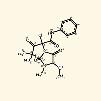 COC1C(=O)N(C(Cl)(C(=O)Nc2ccccc2)C(=O)C(C)(C)C)C(=O)N1C